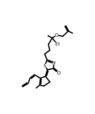 C=C/C=C\C1=C(C)CC/C1=C1/SC(CCCC(C)(CC)OCC(=C)C)=NC1=O